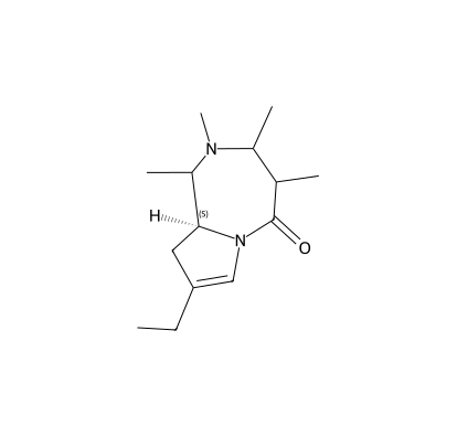 CCC1=CN2C(=O)C(C)C(C)N(C)C(C)[C@@H]2C1